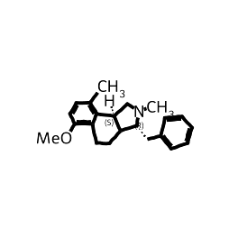 COc1ccc(C)c2c1CCC1[C@@H]2CN(C)[C@@H]1Cc1ccccc1